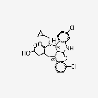 O=C(O)CC1C[C@H](c2cccc(Cl)c2)C2C(=O)Nc3cc(Cl)ccc3[C@@H]2N(CC2CC2)C1=O